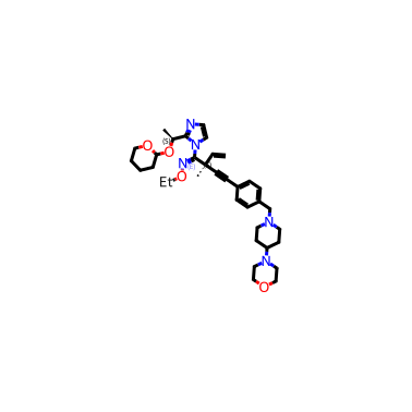 C=C[C@@](C)(C#Cc1ccc(CN2CCC(N3CCOCC3)CC2)cc1)/C(=N\OCC)n1ccnc1[C@H](C)OC1CCCCO1